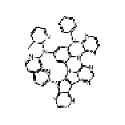 CC1C=CC=NC1N(c1cc2c3c(c1)-n1c4c(ncnc4c4c5nccnc5n(-c5ccccn5)c41)B3c1nccnc1N2c1ccccc1)c1ccccn1